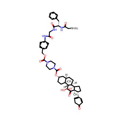 CC(=O)NCC(=O)N[C@@H](Cc1ccccc1)C(=O)NCC(=O)Nc1ccc(COC(=O)N2CCN(C(=O)O[C@H]3CC[C@@]4(C)[C@H](CC[C@@H]5[C@@H]4[C@H](O)C(=O)[C@]4(C)[C@@H](C6=CCC(=O)C=C6)CC[C@]54O)C3)CC2)cc1